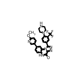 COc1ccc(-c2ccc3[nH]c(=O)c4nnc(-c5ccc(N6CCNCC6)c(C(F)(F)F)c5)n4c3c2)cn1